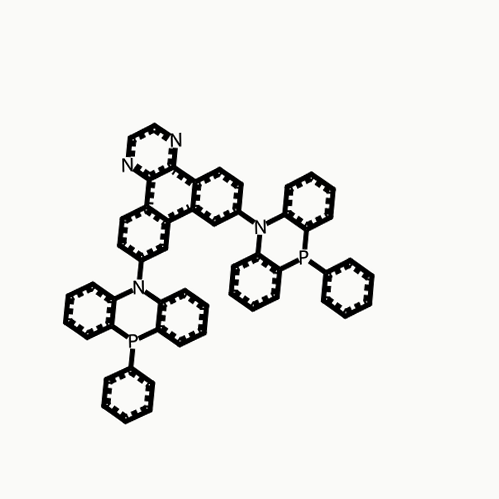 c1ccc(P2c3ccccc3N(c3ccc4c(c3)c3cc(N5c6ccccc6P(c6ccccc6)c6ccccc65)ccc3c3nccnc43)c3ccccc32)cc1